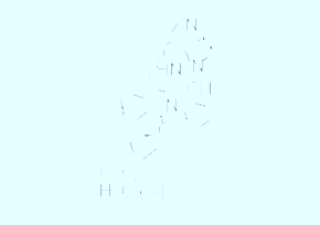 C[C@H](Nc1ncnc2[nH]ccc(=O)c12)c1c(Cl)c2cccc(-c3ccc(SC(C)(C)C)cc3)c2c(=O)n1-c1ccccc1